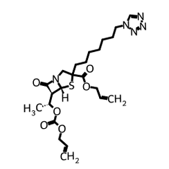 C=CCOC(=O)O[C@H](C)[C@H]1C(=O)N2CC(CCCCCCCn3cnnn3)(C(=O)OCC=C)S[C@H]12